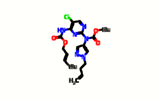 C=CCCn1cc(N(C(=O)OC(C)(C)C)c2ncc(Cl)c(NC(=O)OCC=CC(C)(C)C)n2)cn1